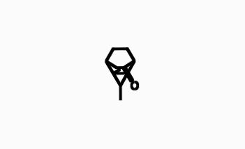 CC1C2C3CCC(CC3=O)C12C